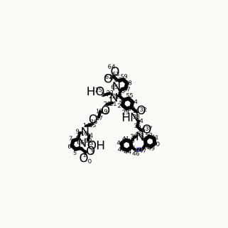 COC(=O)c1cccc(CN(CCO)CCOCCOCCN(CCO)C(c2ccc(C(=O)NCCC(=O)N3Cc4ccccc4/C=C\c4ccccc43)cc2)c2cccc(C(=O)OC)n2)n1